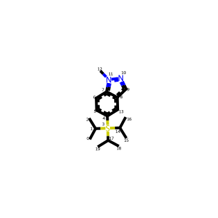 CC(C)S(c1ccc2c(cnn2C)c1)(C(C)C)C(C)C